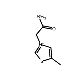 Cc1c[n+](CC(N)=O)cs1